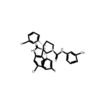 N#Cc1cccc(NC(=O)N2CC[C@@H](c3cccc(Cl)c3)[C@]3(C(=O)Nc4cc(Cl)ccc43)[C@H]2c2cccc(F)c2)c1